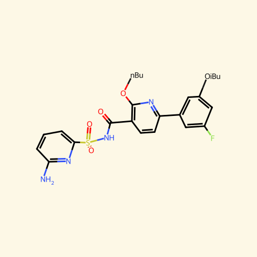 CCCCOc1nc(-c2cc(F)cc(OCC(C)C)c2)ccc1C(=O)NS(=O)(=O)c1cccc(N)n1